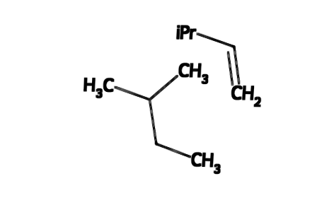 C=CC(C)C.CCC(C)C